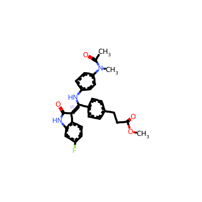 COC(=O)CCc1ccc(/C(Nc2ccc(N(C)C(C)=O)cc2)=C2/C(=O)Nc3cc(F)ccc32)cc1